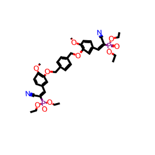 CCOP(=O)(OCC)/C(C#N)=C/c1ccc(OC)c(OCc2ccc(COc3cc(/C=C(\C#N)P(=O)(OCC)OCC)ccc3OC)cc2)c1